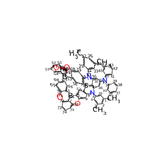 Cc1cc(C)cc(N2c3cc4c(cc3B3c5cc6c(cc5N(c5cc(C)cc(C)c5)c5cc(N(c7ccccc7)c7ccccc7)cc2c53)Oc2cccc3c2B6c2ccccc2O3)B2c3ccccc3Oc3cccc(c32)O4)c1